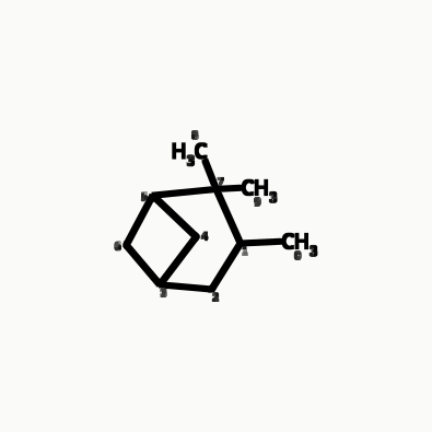 CC1CC2C[C](C2)C1(C)C